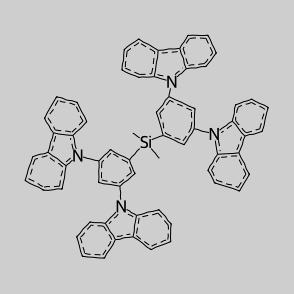 C[Si](C)(c1cc(-n2c3ccccc3c3ccccc32)cc(-n2c3ccccc3c3ccccc32)c1)c1cc(-n2c3ccccc3c3ccccc32)cc(-n2c3ccccc3c3ccccc32)c1